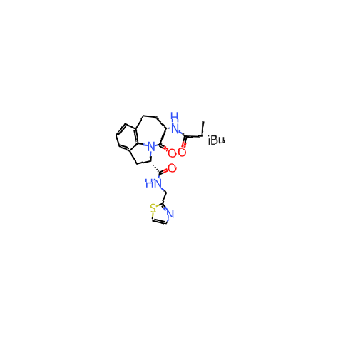 CC[C@H](C)[C@H](C)C(=O)N[C@H]1CCc2cccc3c2N(C1=O)[C@H](C(=O)NCc1nccs1)C3